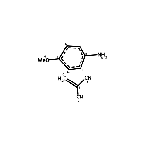 C=C(C#N)C#N.COc1ccc(N)cc1